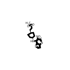 CS(=O)(=O)CC[C@H]1CC[C@H](Nc2c([N+](=O)[O-])cnc3ccsc23)CC1